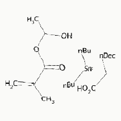 C=C(C)C(=O)OC(C)O.CCCCCCCCCCCC(=O)O.CCC[CH2][Sn][CH2]CCC